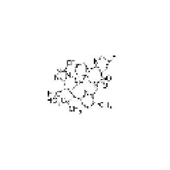 Cc1ccc(C(c2ccn3c(C(F)(F)F)nnc3c2C)[C@@H](C)C(=O)O)nc1CN1C[C@@H]2CCCCN2c2ncc(F)cc2S1(=O)=O